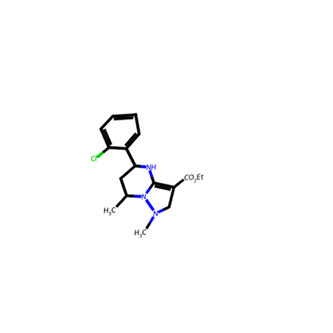 CCOC(=O)C1=C2NC(c3ccccc3Cl)CC(C)N2N(C)C1